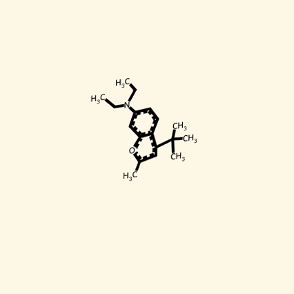 CCN(CC)c1ccc2c(C(C)(C)C)cc(C)[o+]c2c1